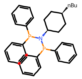 CCCC[C@H]1CC[C@@H](N(P(c2ccccc2)c2ccccc2)P(c2ccccc2)c2ccccc2)CC1